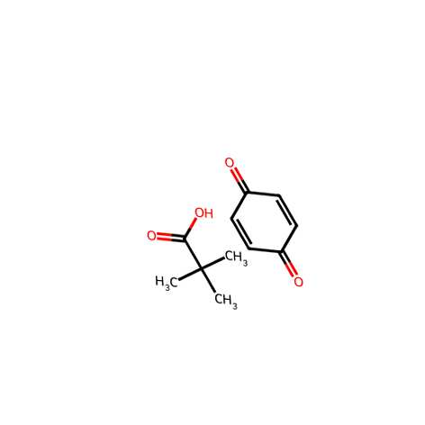 CC(C)(C)C(=O)O.O=C1C=CC(=O)C=C1